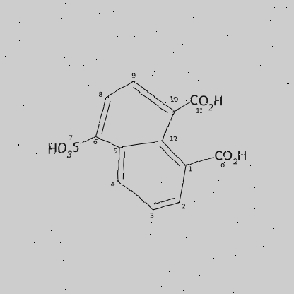 O=C(O)c1cccc2c(S(=O)(=O)O)ccc(C(=O)O)c12